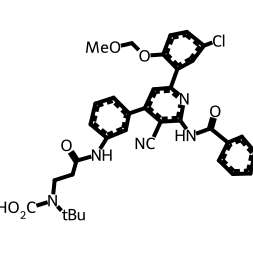 COCOc1ccc(Cl)cc1-c1cc(-c2cccc(NC(=O)CCN(C(=O)O)C(C)(C)C)c2)c(C#N)c(NC(=O)c2ccccc2)n1